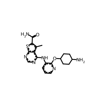 Cc1c(C(N)=O)sc2ncnc(Nc3cccnc3OC3CCC(N)CC3)c12